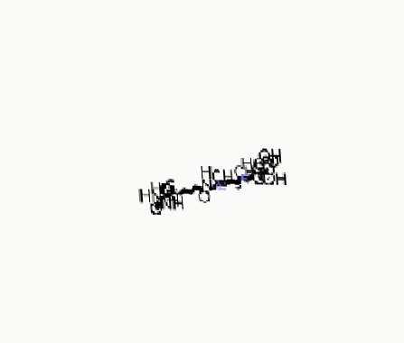 C/C(=C\COP(=O)(O)OP(=O)(O)O)CC/C=C(\C)CNC(=O)CCCC[C@@H]1SC[C@@H]2NC(=O)N[C@@H]21